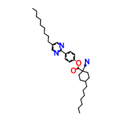 CCCCCCCCCc1cnc(-c2ccc(OC(=O)C3(C#N)CCC(CCCCCCC)CC3)cc2)nc1